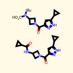 CC(C)(C)N(C(=O)O)C1CN(C(=O)c2cc(C3CC3)[nH]n2)C1.O=C(NC1CN(C(=O)c2cc(C3CC3)[nH]n2)C1)C1CC1